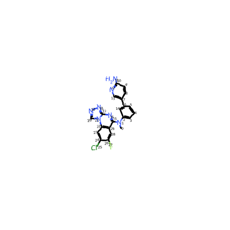 CN(c1cccc(-c2ccc(N)nc2)c1)c1nc2nncn2c2cc(Cl)c(F)cc12